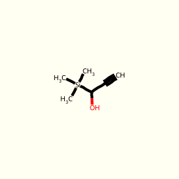 C#CC(O)[Si](C)(C)C